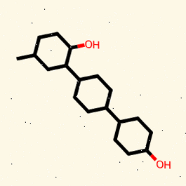 CC1CCC(O)C(C2CCC(C3CCC(O)CC3)CC2)C1